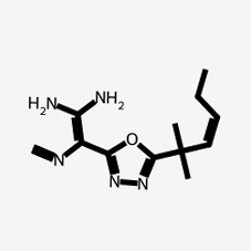 C=NC(=C(N)N)c1nnc(C(C)(C)/C=C\CC)o1